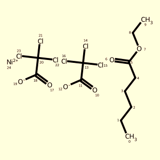 CCCCCC(=O)OCC.O=C([O-])C(Cl)(Cl)Cl.O=C([O-])C(Cl)(Cl)Cl.[Ni+2]